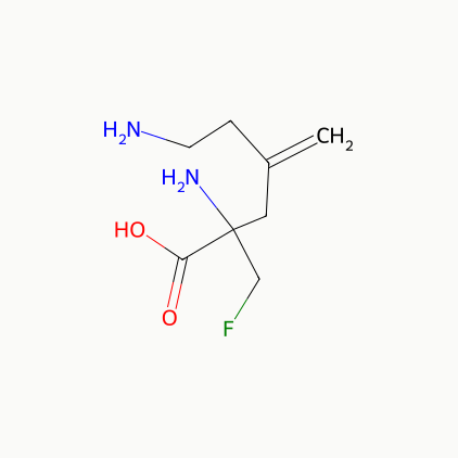 C=C(CCN)CC(N)(CF)C(=O)O